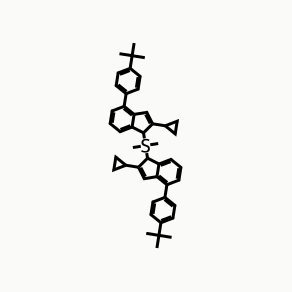 CC(C)(C)c1ccc(-c2cccc3c2C=C(C2CC2)C3S(C)(C)C2C(C3CC3)=Cc3c(-c4ccc(C(C)(C)C)cc4)cccc32)cc1